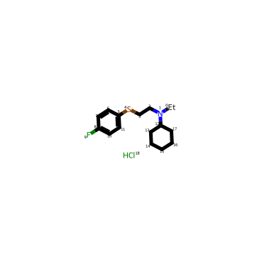 CCN(CCSc1ccc(F)cc1)C1CCCCC1.Cl